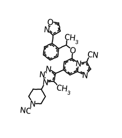 Cc1c(-c2cc(OC(C)c3ccccc3-c3ccon3)n3c(C#N)cnc3c2)nnn1C1CCN(C#N)CC1